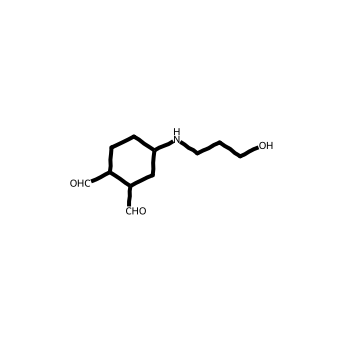 O=CC1CCC(NCCCO)CC1C=O